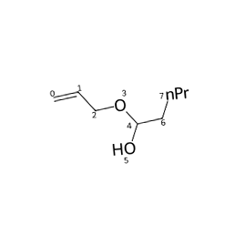 C=CCOC(O)CCCC